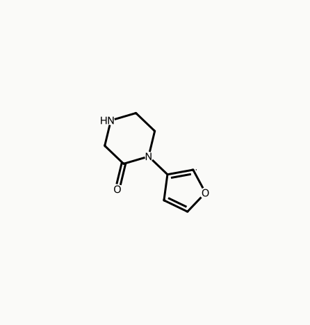 O=C1CNCCN1c1[c]occ1